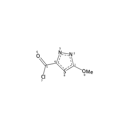 COc1nnc(C(=O)Cl)s1